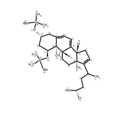 CC[C@H](O)CCC(C)C1=CC[C@H]2C3=CC=C4C[C@@H](O[Si](C)(C)C(C)(C)C)C[C@H](O[Si](C)(C)C(C)(C)C)[C@]4(C)[C@H]3CC[C@]12C